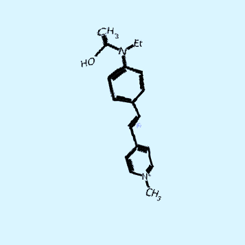 CCN(c1ccc(/C=C/c2cc[n+](C)cc2)cc1)C(C)O